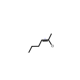 [CH2]CC/C=C(/C)Cl